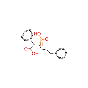 O=C(O)C(c1ccccc1)C(CCCc1ccccc1)[PH](=O)O